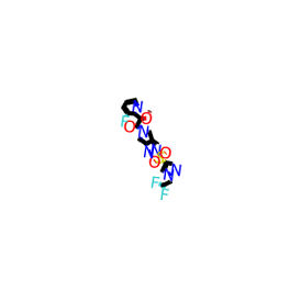 COC(C(=O)N1Cc2cn(S(=O)(=O)c3cnn(CC(F)F)c3)nc2C1)c1ncccc1F